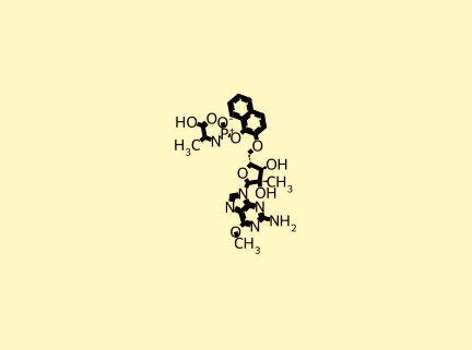 COc1nc(N)nc2c1ncn2C1O[C@H](COc2ccc3ccccc3c2O/[P+]([O-])=N/C(C)C(=O)O)[C@@H](O)[C@@]1(C)O